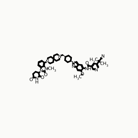 COc1cc2nn([C@H]3CC[C@H](CN4CCC5(CC4)CCN(c4cccc6c4n(C)c(=O)n6C4CCC(=O)NC4=O)CC5)CC3)cc2cc1NC(=O)c1cncc(C(C)(C)C#N)c1